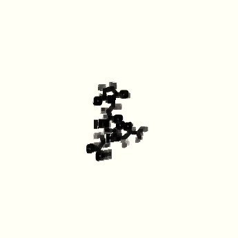 CC(C)C(=O)[C@H](C)NC(=O)[C@H](CCC(=O)O)NC(=O)CCN1C(=O)C=CC1=O